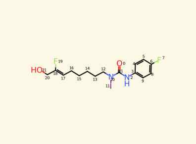 O=C(Nc1ccc(F)cc1)N(I)CCCCCC=C(F)CO